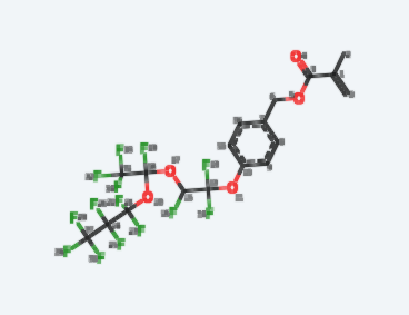 C=C(C)C(=O)OCc1ccc(OC(F)(F)C(F)OC(F)(OC(F)(F)C(F)(F)C(F)(F)F)C(F)(F)F)cc1